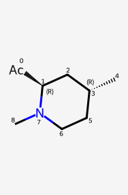 CC(=O)[C@H]1C[C@H](C)CCN1C